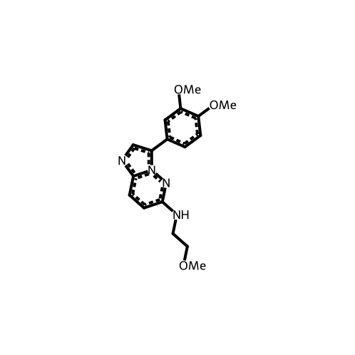 COCCNc1ccc2ncc(-c3ccc(OC)c(OC)c3)n2n1